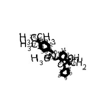 C=CC(O)(C(=O)c1ccccc1)c1cccc(CN(C)Cc2ccc(C(C)(C)C)cc2)c1